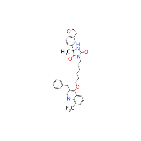 CC1(c2ccc3c(c2)CCO3)NC(=O)N(CCCCCCOc2c(Cc3ccccc3)cnc3c(C(F)(F)F)cccc23)C1=O